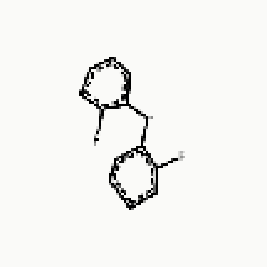 Fc1ccccc1[CH]c1ccccc1F